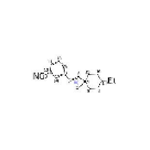 CCC1CCC(C)(/C=C/c2cccc(C#N)c2)CC1